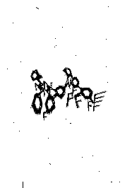 Fc1ccc(-c2ccc(-n3c4ccccc4c4ccc(-c5ccc(C(F)(F)F)cc5C(F)(F)F)cc43)cc2-c2nc(-c3ccccc3)nc(-c3ccccc3)n2)cc1